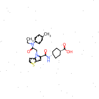 CCN(C(=O)Cn1c(C(=O)N[C@H]2CC[C@H](C(=O)O)CC2)cc2sccc21)c1ccc(C)cc1